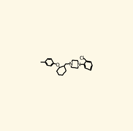 Cc1ccc(OC2CCCCC2CN2CCN(c3ccccc3Cl)CC2)cc1